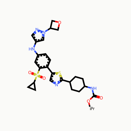 CC(C)OC(=O)NC1CCC(c2ncc(-c3ccc(Nc4cnn(C5COC5)c4)cc3S(=O)(=O)C3CC3)s2)CC1